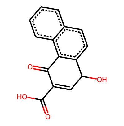 O=C(O)C1=CC(O)c2ccc3ccccc3c2C1=O